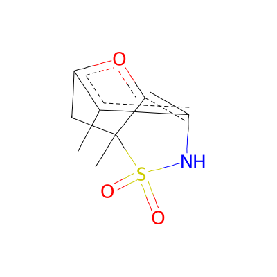 Cc1c2oc3c1NS(=O)(=O)C3(C)C2